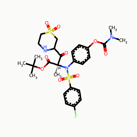 CN(C)C(=O)Oc1ccc(N([C@@](C)(C(=O)OC(C)(C)C)C(=O)C2CS(=O)(=O)CCN2)S(=O)(=O)c2ccc(F)cc2)cc1